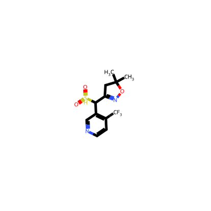 CC1(C)CC(C(c2cnccc2C(F)(F)F)[SH](=O)=O)=NO1